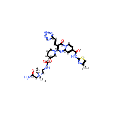 CC(C)(C)c1csc(NC(=O)c2ccn3c(=O)c(C=Cc4nn[nH]n4)c(N4CCC[C@@H](OC(=O)NCC[N+](C)(C)CC(N)=O)C4)nc3c2)n1